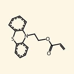 C=CC(=O)OCCN1c2ccccc2Sc2ccccc21